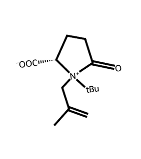 C=C(C)C[N+]1(C(C)(C)C)C(=O)CC[C@H]1C(=O)[O-]